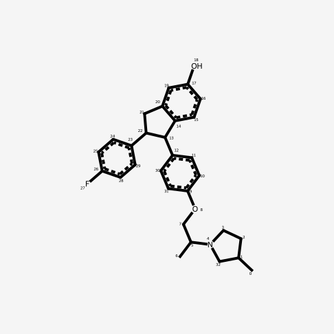 CC1CCN(C(C)COc2ccc(C3c4ccc(O)cc4CC3c3ccc(F)cc3)cc2)C1